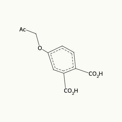 CC(=O)COc1ccc(C(=O)O)c(C(=O)O)c1